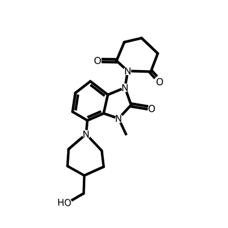 Cn1c(=O)n(N2C(=O)CCCC2=O)c2cccc(N3CCC(CO)CC3)c21